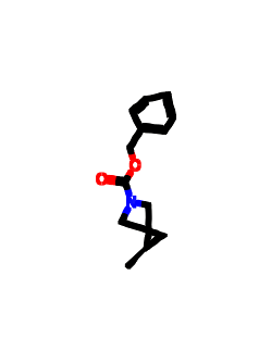 C[C@@H]1CC12CN(C(=O)OCc1ccccc1)C2